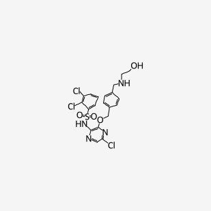 O=S(=O)(Nc1ncc(Cl)nc1OCc1ccc(CNCCO)cc1)c1cccc(Cl)c1Cl